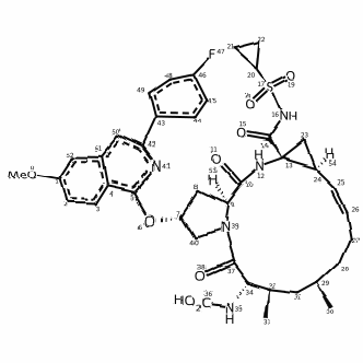 COc1ccc2c(O[C@@H]3C[C@H]4C(=O)N[C@]5(C(=O)NS(=O)(=O)C6CC6)C[C@H]5C=CCC[C@@H](C)C[C@@H](C)[C@H](NC(=O)O)C(=O)N4C3)nc(-c3ccc(F)cc3)cc2c1